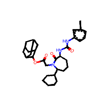 Cc1cccc(NC(=O)NC2CCCC(C3CCCCC3)N(CC(=O)OC3C4CC5CC(C4)CC3C5)C2=O)c1